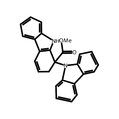 COC(=O)C1(n2c3ccccc3c3ccccc32)CC=Cc2c1[nH]c1ccccc21